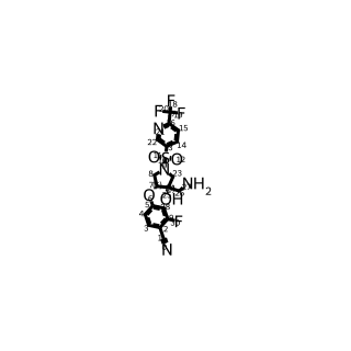 N#Cc1ccc(O[C@H]2CN(S(=O)(=O)c3ccc(C(F)(F)F)nc3)C[C@@]2(O)CN)cc1F